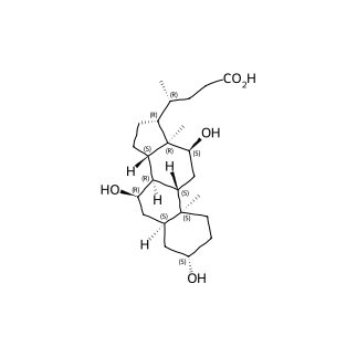 C[C@H](CCC(=O)O)[C@H]1CC[C@H]2[C@@H]3[C@H](O)C[C@@H]4C[C@@H](O)CC[C@]4(C)[C@H]3C[C@H](O)[C@]12C